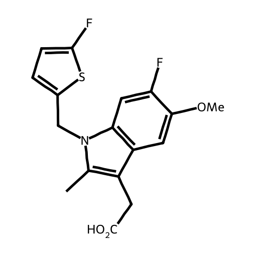 COc1cc2c(CC(=O)O)c(C)n(Cc3ccc(F)s3)c2cc1F